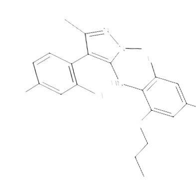 CCCOc1cc(F)cc(F)c1Nc1c(-c2ccc(F)cc2Cl)c(C)nn1C